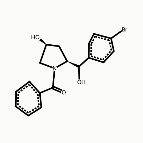 O=C(c1ccccc1)N1C[C@@H](O)C[C@H]1C(O)c1ccc(Br)cc1